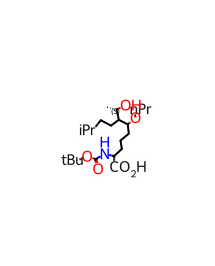 CCCOC(CCCC(NC(=O)OC(C)(C)C)C(=O)O)C(CCC(C)C)[C@H](C)O